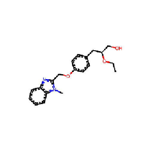 CCO[C@H](CO)Cc1ccc(OCc2nc3ccccc3n2C)cc1